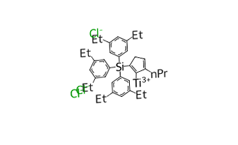 CCCC1=CCC([Si](c2cc(CC)cc(CC)c2)(c2cc(CC)cc(CC)c2)c2cc(CC)cc(CC)c2)=[C]1[Ti+3].[Cl-].[Cl-].[Cl-]